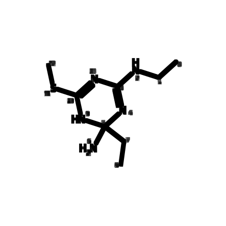 CCNC1=NC(N)(CC)NC(SC)=N1